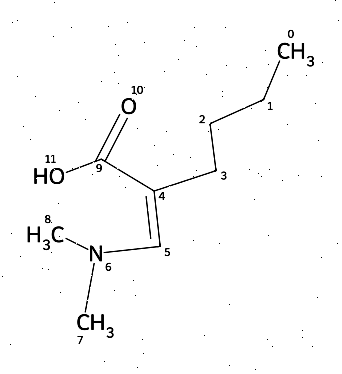 CCCCC(=CN(C)C)C(=O)O